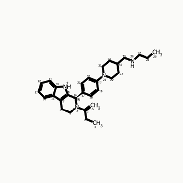 C=C(CC)N1CCc2c([nH]c3ccccc23)[C@H]1c1ccc(N2CCC(CNCCC)CC2)cc1